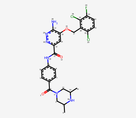 CC1CN(C(=O)c2ccc(NC(=O)c3cc(OCc4c(Cl)ccc(F)c4Cl)c(N)nn3)cc2)CC(C)N1